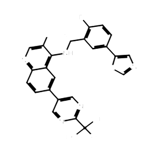 C[C@@H](Nc1c(Cl)cnc2ccc(-c3cnc(C(C)(C)O)nc3)cc12)c1cc(-c2cncs2)ccc1F